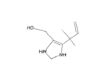 C=CC(C)(C)C1=C(CO)NCN1